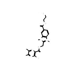 CCn1c(CNC(=O)c2nc(Cl)c(N)nc2N)[n+](CC)c2ccc(C(=O)NCCNC(C)=O)cc21